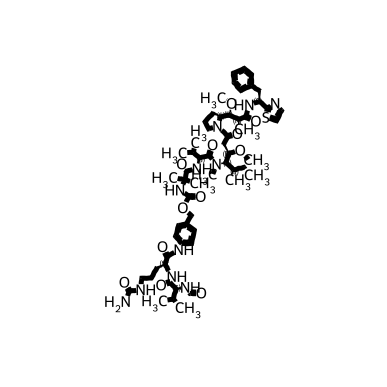 CC[C@H](C)[C@@H]([C@@H](CC(=O)N1CCC[C@H]1[C@H](OC)[C@@H](C)C(=O)N[C@@H](Cc1ccccc1)c1nccs1)OC)N(C)C(=O)[C@@H](NC(=O)C(C)(C)NC(=O)OCc1ccc(NC(=O)[C@H](CCCNC(N)=O)NC(=O)[C@@H](NC=O)C(C)C)cc1)C(C)C